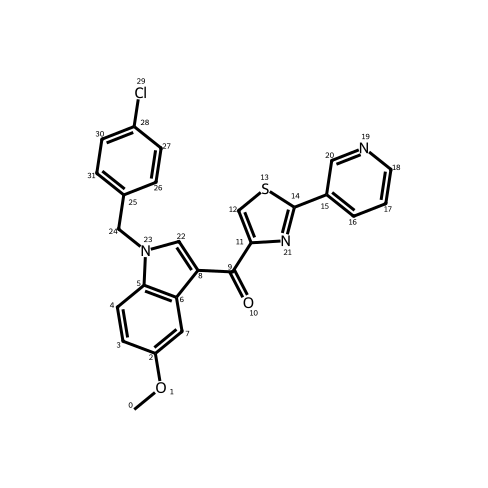 COc1ccc2c(c1)c(C(=O)c1csc(-c3cccnc3)n1)cn2Cc1ccc(Cl)cc1